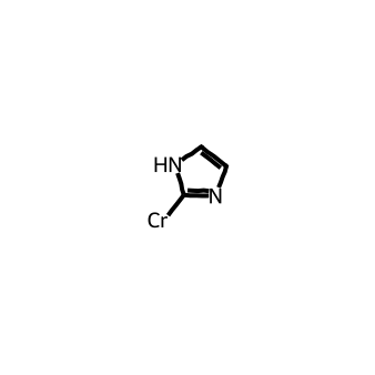 [Cr][c]1ncc[nH]1